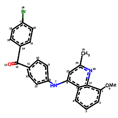 COc1cccc2c(Nc3ccc(C(=O)c4ccc(Br)cc4)cc3)cc(C)nc12